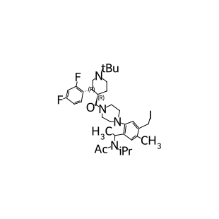 CC(=O)N(C(C)C)C(C)c1cc(C)c(CI)cc1N1CCN(C(=O)[C@@H]2CCN(C(C)(C)C)C[C@H]2c2ccc(F)cc2F)CC1